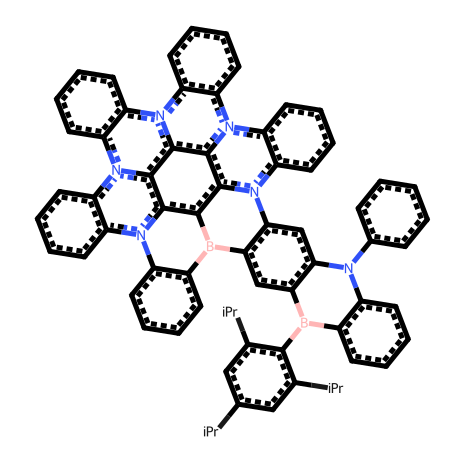 CC(C)c1cc(C(C)C)c(B2c3ccccc3N(c3ccccc3)c3cc4c(cc32)B2c3ccccc3-n3c5ccccc5n5c6ccccc6n6c7ccccc7n7c8ccccc8n-4c4c2c3c5c6c47)c(C(C)C)c1